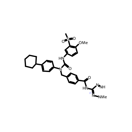 CN/N=C(\N=N)NC(=O)c1ccc(CN(C(=O)Nc2ccc(OC)c(S(C)(=O)=O)c2)c2ccc(C3CCCCC3)cc2)cc1